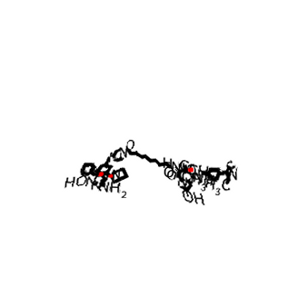 Cc1ncsc1-c1ccc(CNC(=O)[C@@H]2C[C@@H](O)CN2C(=O)[C@@H](NC(=O)CCCCCCCCC(=O)N2CCN(Cc3cccc(CN4C5CCC4CN(c4cc(-c6ccccc6O)nnc4N)C5)c3)CC2)C(C)(C)C)cc1